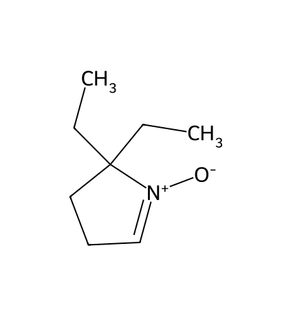 CCC1(CC)CCC=[N+]1[O-]